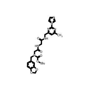 Cc1cc(CNC(=O)CNC(=O)CN(Cc2ccc3c(c2)OCO3)C(=O)OC(C)(C)C)nc(-n2ccnc2)n1